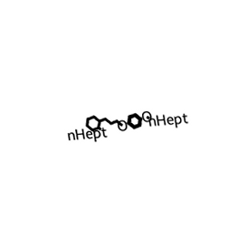 CCCCCCCOc1ccc(OCCCC2CCCCC2CCCCCCC)cc1